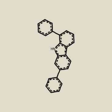 c1ccc(-c2ccc3c(c2)[nH]c2c(-c4ccccc4)cccc23)cc1